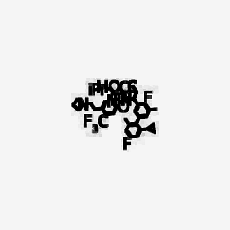 Cc1cc(-c2c(C)cc(F)cc2C2CC2)cc(C(CC(=O)O)NC(=O)C(CC(C)C)n2cc(CCN3CCC3)c(C(F)(F)F)cc2=O)c1F